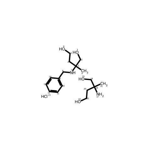 CC(CO)(CCO)NCc1ccccc1.CC(N)(CO)CCO.Cl